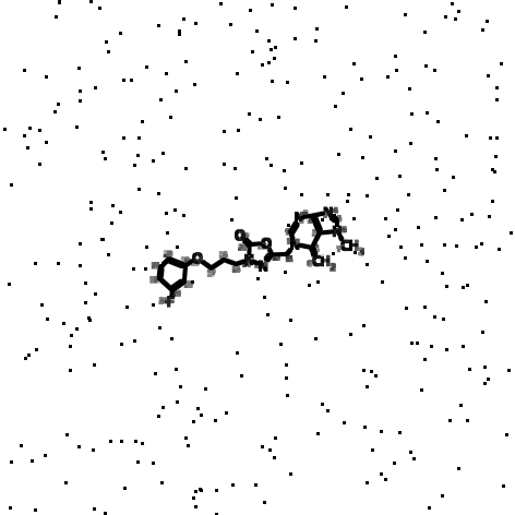 C=C1c2c(ncn2C)N=CN1Cc1nn(CCCOc2cccc(F)c2)c(=O)o1